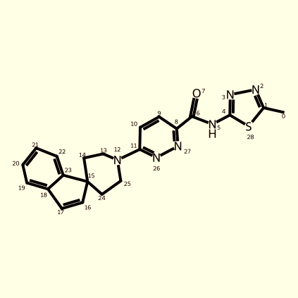 Cc1nnc(NC(=O)c2ccc(N3CCC4(C=Cc5ccccc54)CC3)nn2)s1